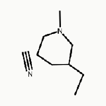 C#N.CCC1CCCN(C)C1